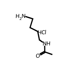 CC(=O)NCCCCN.Cl